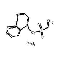 C=CS(=O)(=O)Oc1cccc2ccccc12.[MgH2]